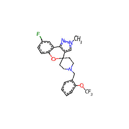 Cn1cc2c(n1)-c1cc(F)ccc1OC21CCN(Cc2ccccc2OC(F)(F)F)CC1